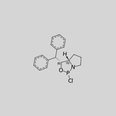 ClP1O[C@H](C(c2ccccc2)c2ccccc2)[C@@H]2CCCN21